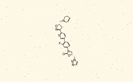 O=C1O[C@@H](Cn2ccnn2)CN1c1ccc(-c2ccc(C3=NO[C@H](CN4CC=CCC4)C3)nc2)c(F)c1